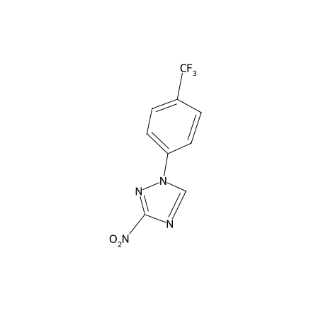 O=[N+]([O-])c1ncn(-c2ccc(C(F)(F)F)cc2)n1